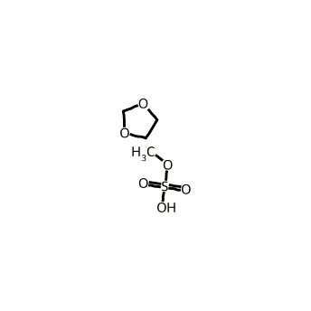 C1COCO1.COS(=O)(=O)O